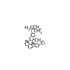 Cc1c2ccc(CC(C)(C)C)cc2cc2c3nccc4ccc5c6ccc(C7CCCC7)cc6n(c12)c5c43